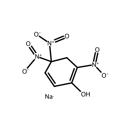 O=[N+]([O-])C1=C(O)C=CC([N+](=O)[O-])([N+](=O)[O-])C1.[Na]